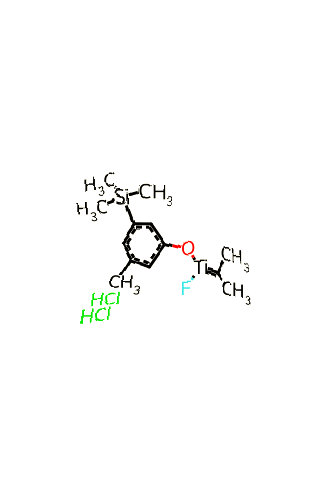 C[C](C)=[Ti]([F])[O]c1cc(C)cc([Si](C)(C)C)c1.Cl.Cl